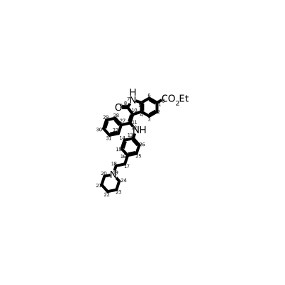 CCOC(=O)c1ccc2c(c1)NC(=O)C2=C(Nc1ccc(CCN2CCCCC2)cc1)c1ccccc1